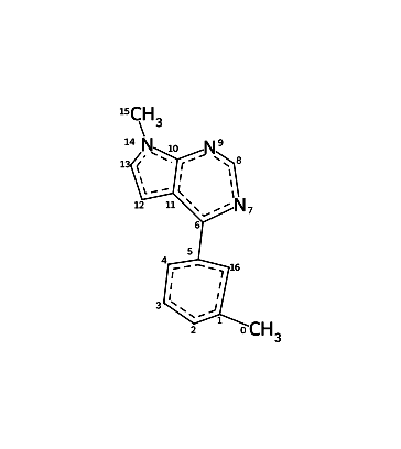 Cc1cccc(-c2ncnc3c2ccn3C)c1